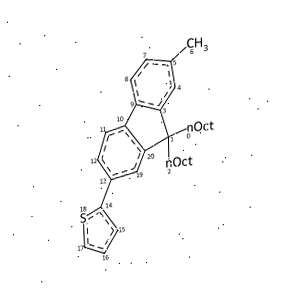 CCCCCCCCC1(CCCCCCCC)c2cc(C)ccc2-c2ccc(-c3cccs3)cc21